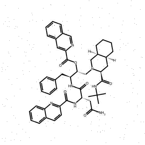 CC(C)(C)NC(=O)[C@@H]1C[C@@H]2CCCC[C@@H]2CN1C[C@@H](OC(=O)c1cc2ccccc2cn1)[C@H](Cc1ccccc1)NC(=O)[C@H](CC(N)=O)NC(=O)c1ccc2ccccc2n1